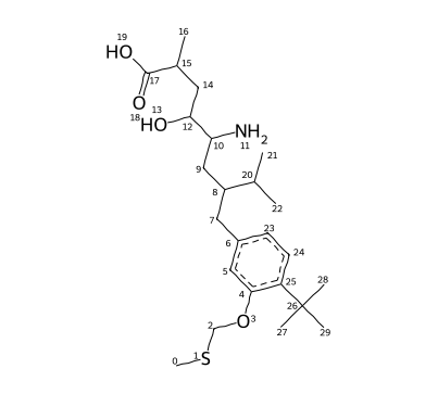 CSCOc1cc(CC(CC(N)C(O)CC(C)C(=O)O)C(C)C)ccc1C(C)(C)C